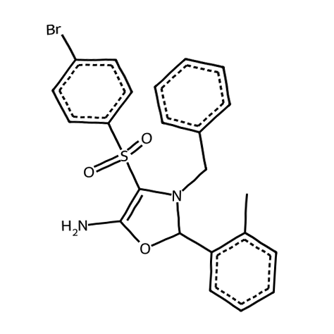 Cc1ccccc1C1OC(N)=C(S(=O)(=O)c2ccc(Br)cc2)N1Cc1ccccc1